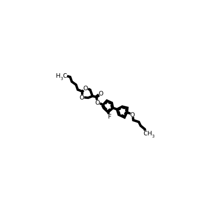 CCCCCOc1ccc(-c2ccc(OC(=O)C3COC(CCCCC)OC3)cc2F)cc1